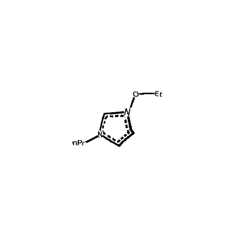 CCC[n+]1ccn(OCC)c1